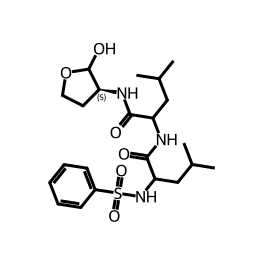 CC(C)CC(NC(=O)C(CC(C)C)NS(=O)(=O)c1ccccc1)C(=O)N[C@H]1CCOC1O